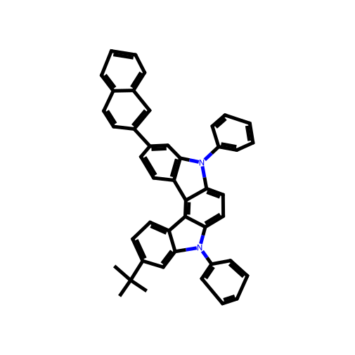 CC(C)(C)c1ccc2c3c4c5ccc(-c6ccc7ccccc7c6)cc5n(-c5ccccc5)c4ccc3n(-c3ccccc3)c2c1